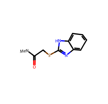 CNC(=O)CSc1nc2ccccc2[nH]1